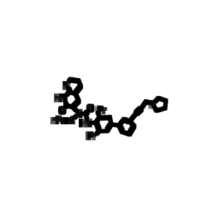 CCCCCN(C(=O)Nc1c(C(C)C)cc(-c2cccc(C#CCN3CCCC3)c2)cc1C(C)C)c1cc2cccnc2[nH]c1=O